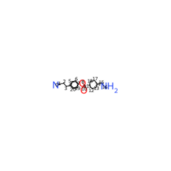 N#CCCc1ccc(OC(=O)[C@H]2CC[C@H](CN)CC2)cc1